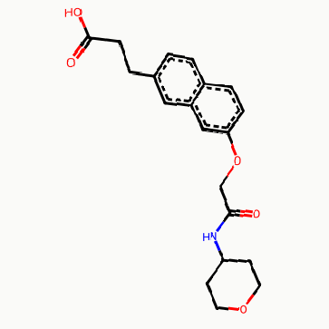 O=C(O)CCc1ccc2ccc(OCC(=O)NC3CCOCC3)cc2c1